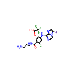 NCCCNC(=O)c1ccc(Nc2nccn3c(I)cnc23)cc1Cl.O=C(O)C(F)(F)F